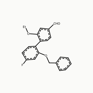 CCOc1cc(C=O)ccc1-c1ccc(F)cc1OCc1ccccc1